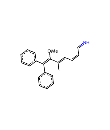 COC(=C(c1ccccc1)c1ccccc1)/C(C)=C/C=C\C=N